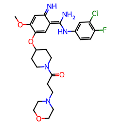 COC1=CC(=N)/C(=C(\N)Nc2ccc(F)c(Cl)c2)C=C1OC1CCN(C(=O)CCN2CCOCC2)CC1